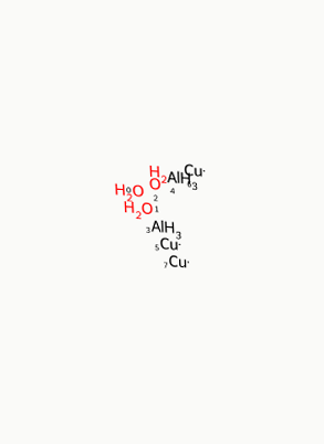 O.O.O.[AlH3].[AlH3].[Cu].[Cu].[Cu]